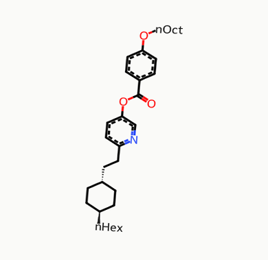 CCCCCCCCOc1ccc(C(=O)Oc2ccc(CC[C@H]3CC[C@H](CCCCCC)CC3)nc2)cc1